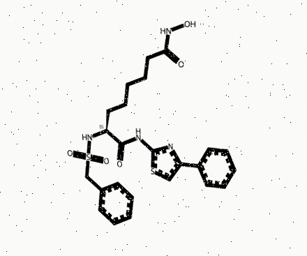 O=C(CCCCC[C@H](NS(=O)(=O)Cc1ccccc1)C(=O)Nc1nc(-c2ccccc2)cs1)NO